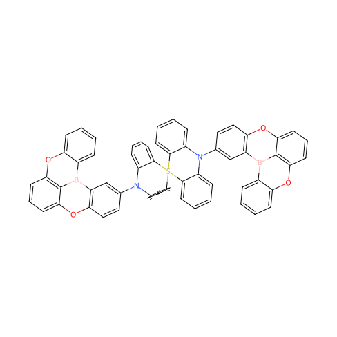 c1ccc2c(c1)Oc1cccc3c1B2c1cc(N2c4ccccc4S4(c5ccccc52)c2ccccc2N(c2ccc5c(c2)B2c6ccccc6Oc6cccc(c62)O5)c2ccccc24)ccc1O3